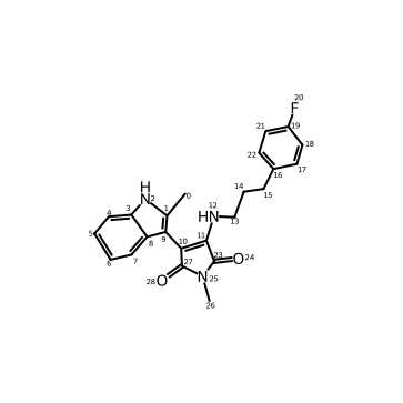 Cc1[nH]c2ccccc2c1C1=C(NCCCc2ccc(F)cc2)C(=O)N(C)C1=O